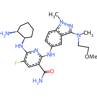 COCCN(C)c1nn(C)c2ccc(Nc3nc(N[C@@H]4CCCC[C@@H]4N)c(F)cc3C(N)=O)cc12